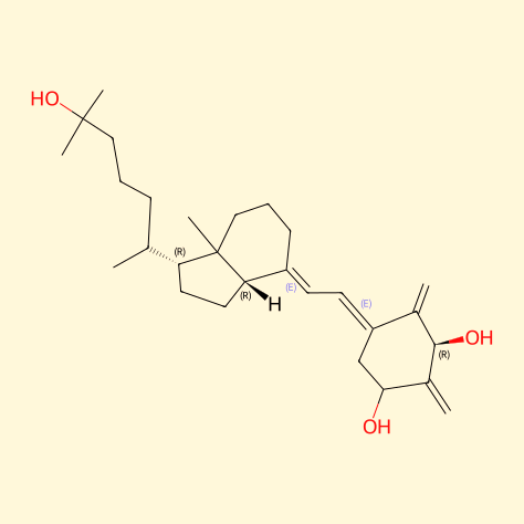 C=C1/C(=C/C=C2\CCCC3(C)[C@@H](C(C)CCCC(C)(C)O)CC[C@@H]23)CC(O)C(=C)[C@@H]1O